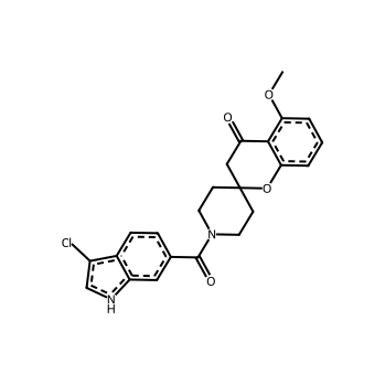 COc1cccc2c1C(=O)CC1(CCN(C(=O)c3ccc4c(Cl)c[nH]c4c3)CC1)O2